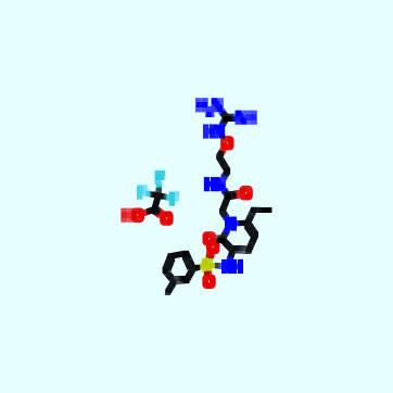 CCc1ccc(NS(=O)(=O)c2cccc(C)c2)c(=O)n1CC(=O)NCCONC(=N)N.O=C(O)C(F)(F)F